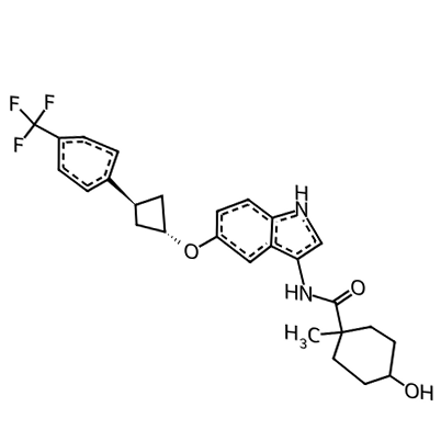 CC1(C(=O)Nc2c[nH]c3ccc(O[C@H]4C[C@H](c5ccc(C(F)(F)F)cc5)C4)cc23)CCC(O)CC1